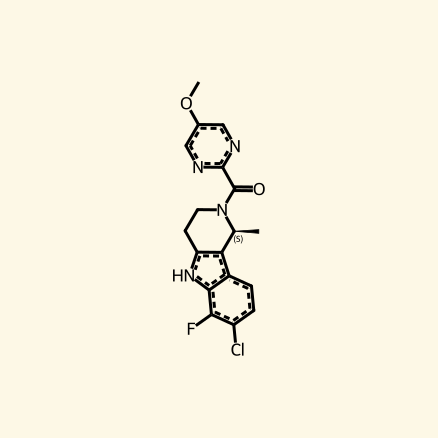 COc1cnc(C(=O)N2CCc3[nH]c4c(F)c(Cl)ccc4c3[C@@H]2C)nc1